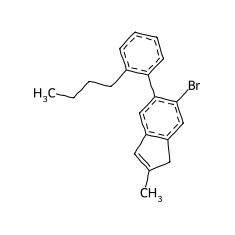 CCCCc1ccccc1-c1cc2c(cc1Br)CC(C)=C2